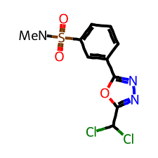 CNS(=O)(=O)c1cccc(-c2nnc(C(Cl)Cl)o2)c1